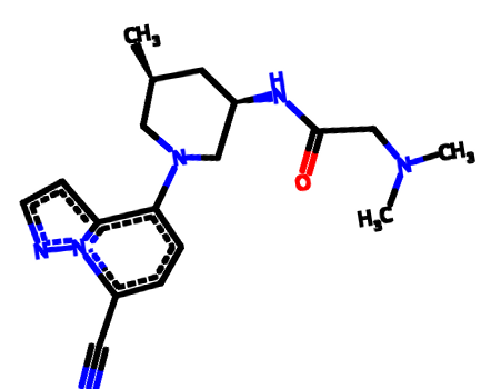 C[C@H]1C[C@@H](NC(=O)CN(C)C)CN(c2ccc(C#N)n3nccc23)C1